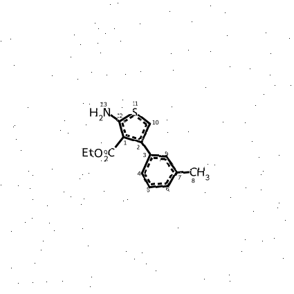 CCOC(=O)c1c(-c2cccc(C)c2)csc1N